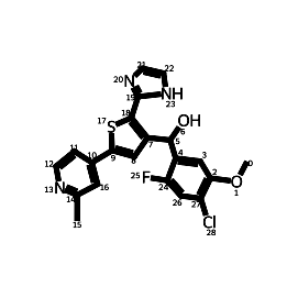 COc1cc(C(O)c2cc(-c3ccnc(C)c3)sc2-c2ncc[nH]2)c(F)cc1Cl